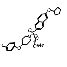 COC(=O)[C@@H]1C[C@H](Oc2ccc(Cl)cc2)CCN1S(=O)(=O)c1ccc2cc(OC3CCCC3)ccc2c1